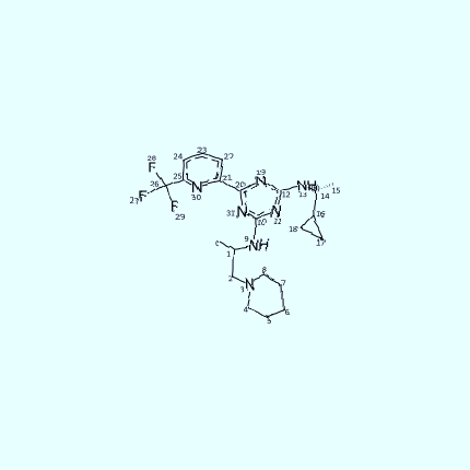 CC(CN1CCCCC1)Nc1nc(N[C@H](C)C2CC2)nc(-c2cccc(C(F)(F)F)n2)n1